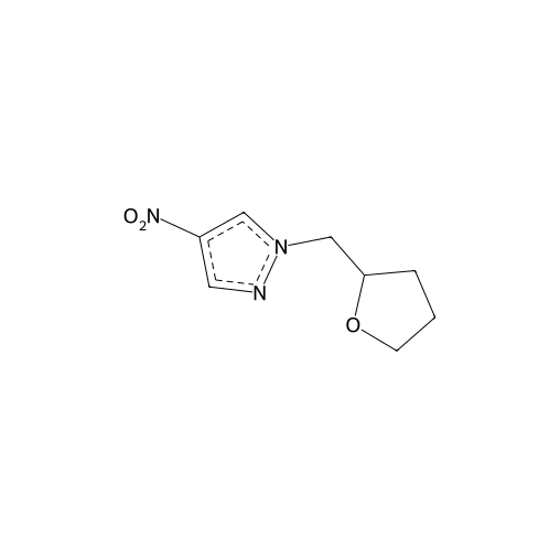 O=[N+]([O-])c1cnn(CC2CCCO2)c1